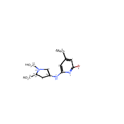 COc1cc(Br)nc(N[C@H]2C[C@@H](C(=O)O)N(C(=O)O)C2)c1